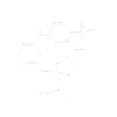 COc1cc(Nc2ncc(F)c(NC3C4C=CC(C4)C3C(N)=O)n2)ccc1S(N)(=O)=O